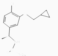 CCCC[S@+]([O-])N[C@@H](C)c1ccc(C(F)(F)F)c(OCC2CC2)c1